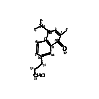 Cc1cn(N(C)C)c2ccc(CCC=O)cc2c1=O